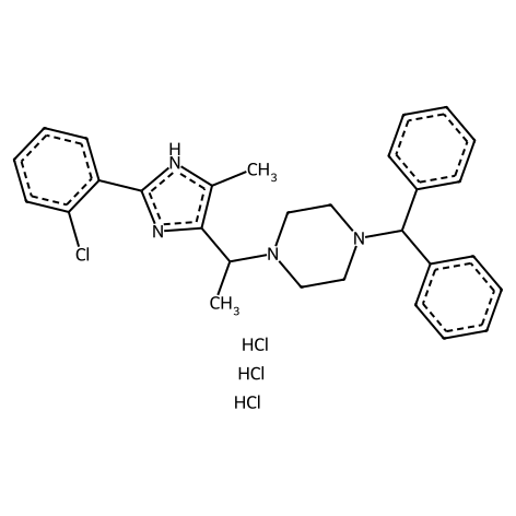 Cc1[nH]c(-c2ccccc2Cl)nc1C(C)N1CCN(C(c2ccccc2)c2ccccc2)CC1.Cl.Cl.Cl